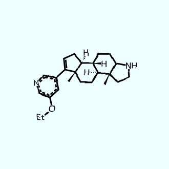 CCOc1cncc(C2=CC[C@H]3[C@@H]4CCC5NCC[C@]5(C)[C@H]4CC[C@]23C)c1